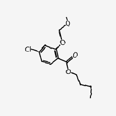 CCCCOC(=O)c1ccc(Cl)cc1OCOC